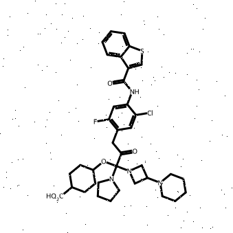 O=C(Nc1cc(F)c(CC(=O)C(OC2CCC(C(=O)O)CC2)(N2CCCC2)N2CC(N3CCCCC3)C2)cc1Cl)c1csc2ccccc12